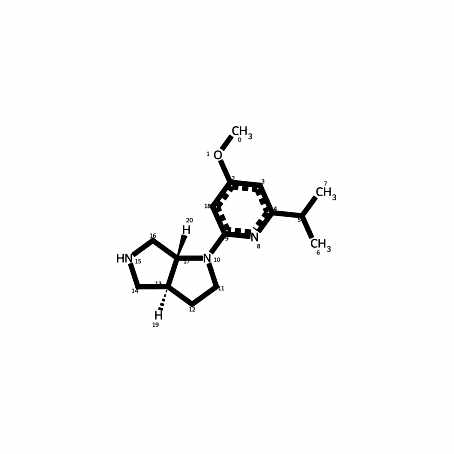 COc1cc(C(C)C)nc(N2CC[C@H]3CNC[C@@H]32)c1